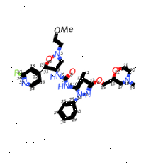 COCCN1C[C@@H](NC(=O)Nc2c(C)c(OCC3CN(C)CCO3)nn2-c2ccccc2)[C@H](c2ccnc(F)c2)O1